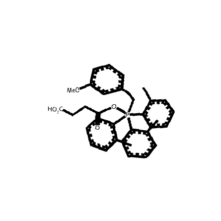 COc1cccc(CP(OC(=O)CCC(=O)O)(c2ccccc2C)(c2ccccc2C)c2ccccc2C)c1